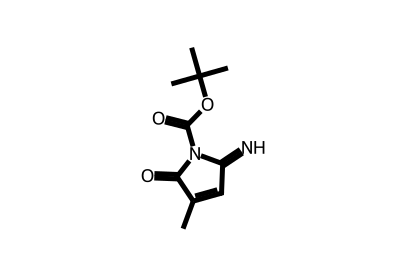 CC1=CC(=N)N(C(=O)OC(C)(C)C)C1=O